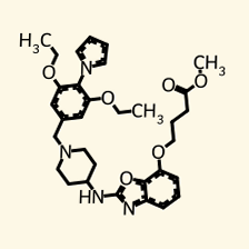 CCOc1cc(CN2CCC(Nc3nc4cccc(OCCCC(=O)OC)c4o3)CC2)cc(OCC)c1-n1cccc1